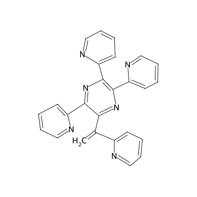 C=C(c1ccccn1)c1nc(-c2ccccn2)c(-c2ccccn2)nc1-c1ccccn1